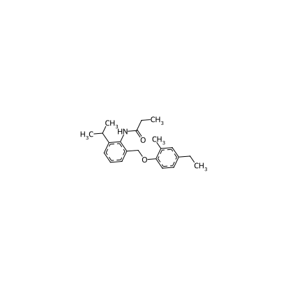 CCC(=O)Nc1c(COc2ccc(CC)cc2C)cccc1C(C)C